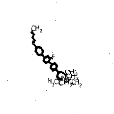 C=CCC/C=C/C1CCC(c2ccc(-c3ccc(C4CC(C)(C)N(OCC)C(C)(C)C4)cc3)c(F)c2)CC1